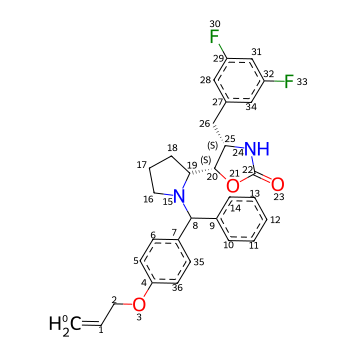 C=CCOc1ccc(C(c2ccccc2)N2CCCC2[C@H]2OC(=O)N[C@H]2Cc2cc(F)cc(F)c2)cc1